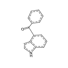 O=C(c1ccccc1)c1cccc2[nH]c[c]c12